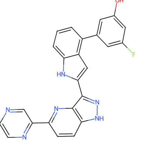 Oc1cc(F)cc(-c2cccc3[nH]c(-c4n[nH]c5ccc(-c6cnccn6)nc45)cc23)c1